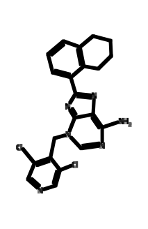 Nc1ncn(Cc2c(Cl)cncc2Cl)c2nc(-c3cccc4c3CCCC4)nc1-2